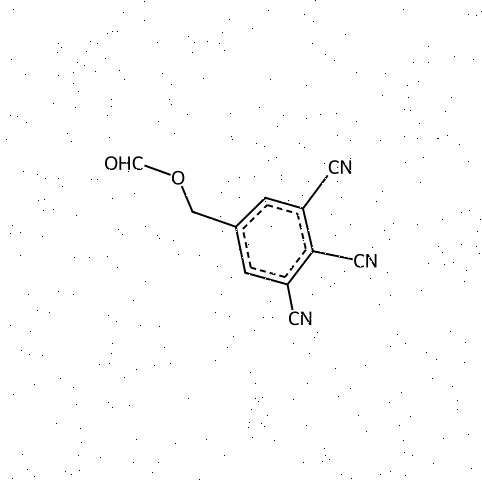 N#Cc1cc(COC=O)cc(C#N)c1C#N